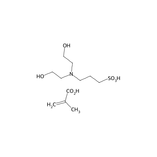 C=C(C)C(=O)O.O=S(=O)(O)CCCN(CCO)CCO